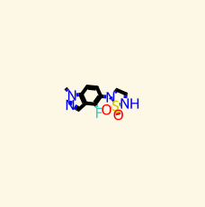 Cn1ncc2c(F)c(N3CCNS3(=O)=O)ccc21